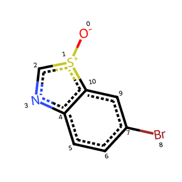 [O-][s+]1cnc2ccc(Br)cc21